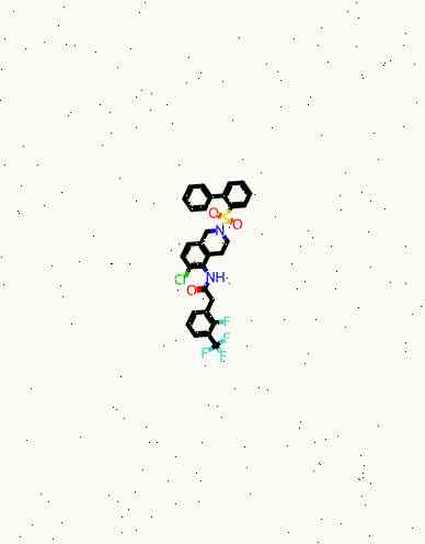 O=C(Cc1cccc(C(F)(F)F)c1F)Nc1c(Cl)ccc2c1CCN(S(=O)(=O)c1ccccc1-c1ccccc1)C2